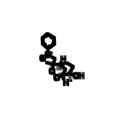 C[C@]1(C[S+]([O-])c2ccccc2)OO[C@@H]2C[C@H]1CC[C@@]2(C)O